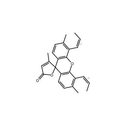 C/C=C\c1c(C)ccc2c1Oc1c(ccc(C)c1/C=C\C)C21OC(=O)C=C1C